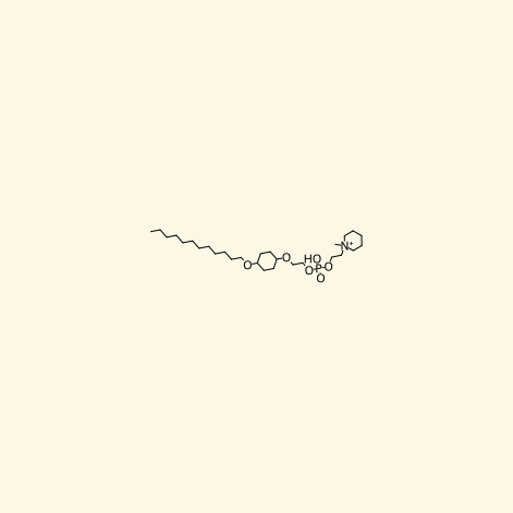 CCCCCCCCCCCCOC1CCC(OCCOP(=O)(O)OCC[N+]2(C)CCCCC2)CC1